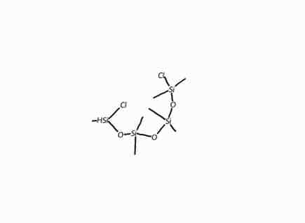 C[SiH](Cl)O[Si](C)(C)O[Si](C)(C)O[Si](C)(C)Cl